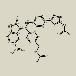 CC(=O)NCc1ccc(/C(Nc2ccc(-c3c[nH]c(NC(C)=O)n3)cc2)=C2/C(=O)Nc3ccc([N+](=O)[O-])cc32)cc1